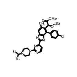 CCC(CC)N1CCN(c2nccc(-c3nc4cc(C)c(C(OC(C)(C)C)C(=O)OC)c(-c5ccc(Cl)cc5)c4s3)n2)CC1